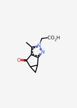 Cc1c2c(nn1CC(=O)O)C1CC1C2=O